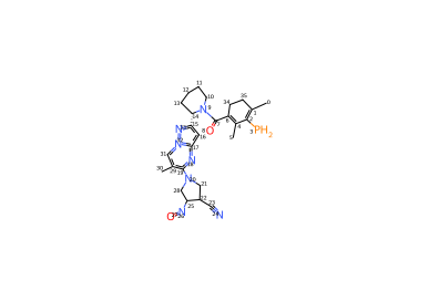 CC1=C(P)C(C)=C(C(=O)N2CCCC[C@H]2c2cc3nc(N4CC(C#N)C(N=O)C4)c(C)cn3n2)CC1